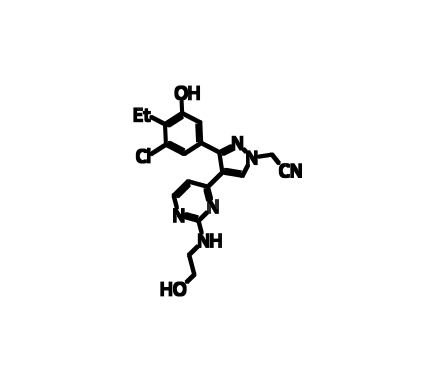 CCc1c(O)cc(-c2nn(CC#N)cc2-c2ccnc(NCCO)n2)cc1Cl